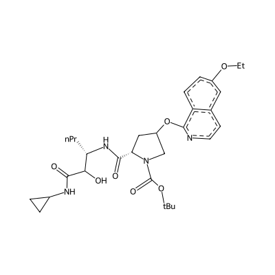 CCC[C@H](NC(=O)[C@@H]1CC(Oc2nccc3cc(OCC)ccc23)CN1C(=O)OC(C)(C)C)C(O)C(=O)NC1CC1